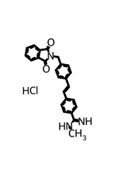 CNC(=N)c1ccc(C=Cc2ccc(CN3C(=O)c4ccccc4C3=O)cc2)cc1.Cl